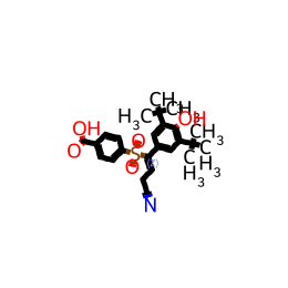 CC(C)(C)c1cc(/C(=C/CC#N)S(=O)(=O)c2ccc(C(=O)O)cc2)cc(C(C)(C)C)c1O